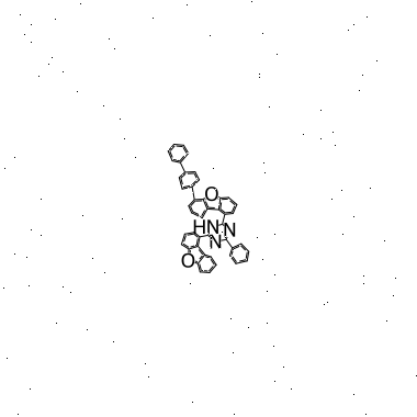 c1ccc(C2=NC(c3cccc4oc5c(-c6ccc(-c7ccccc7)cc6)cccc5c34)NC(c3cccc4oc5ccccc5c34)=N2)cc1